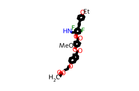 C=CC(=O)OCCCOc1ccc2cc(C(=O)Oc3ccc(C(=O)Oc4cc(F)c(C#Cc5ccc(OCC)cc5)c(F)c4C=N)cc3OC)ccc2c1